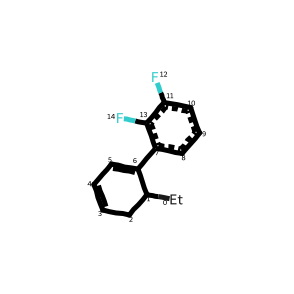 CCC1CC=CC=C1c1cccc(F)c1F